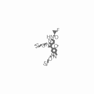 COc1cc2cnn(COCC[Si](C)(C)C)c2cc1-c1cn(COCC[Si](C)(C)C)c2nc(NC(=O)[C@H]3C[C@H]3F)ccc12